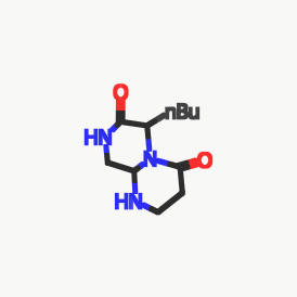 CCCCC1C(=O)NCC2NCCC(=O)N21